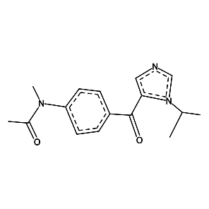 CC(=O)N(C)c1ccc(C(=O)c2cncn2C(C)C)cc1